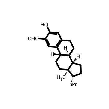 CCC[C@H]1CC[C@H]2[C@@H]3CCc4cc(O)c(C=O)cc4[C@H]3CC[C@]12C